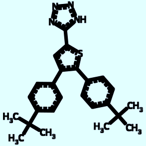 CC(C)(C)c1ccc(-c2cc(-c3nnn[nH]3)sc2-c2ccc(C(C)(C)C)cc2)cc1